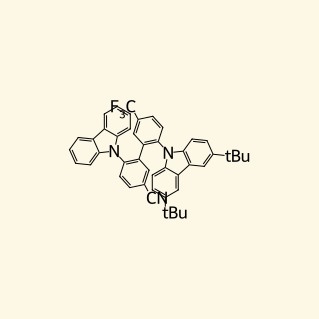 CC(C)(C)c1ccc2c(c1)c1cc(C(C)(C)C)ccc1n2-c1ccc(C(F)(F)F)cc1-c1cc(C#N)ccc1-n1c2ccccc2c2ccccc21